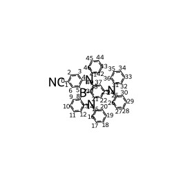 N#Cc1ccc2c(c1)B1c3ccccc3N(c3ccccc3)c3cc(N(c4ccccc4)c4ccccc4)cc(c31)N2c1ccccc1